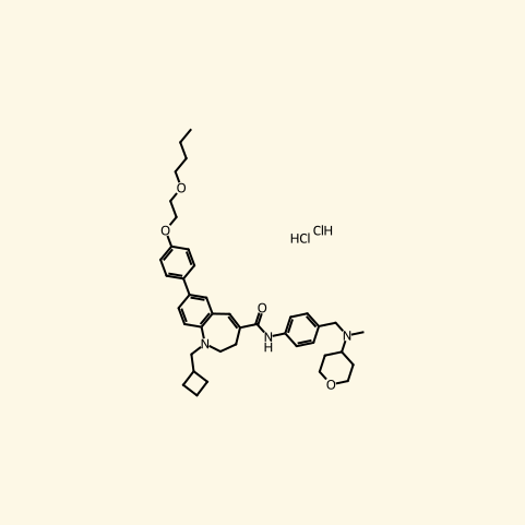 CCCCOCCOc1ccc(-c2ccc3c(c2)C=C(C(=O)Nc2ccc(CN(C)C4CCOCC4)cc2)CCN3CC2CCC2)cc1.Cl.Cl